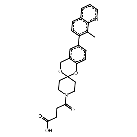 Cc1c(-c2ccc3c(c2)COC2(CCN(C(=O)CCC(=O)O)CC2)O3)ccc2cccnc12